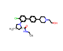 C[C@H]1C[C@@H](C(=O)NCC#N)N(c2cc(-c3ccc(C4CCN(CCO)CC4)cc3)ccc2Cl)C1